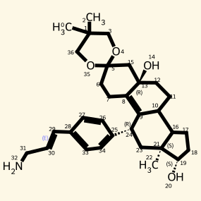 CC1(C)COC2(CCC3=C4C(CC[C@@]3(O)C2)C2CC[C@H](O)[C@@]2(C)C[C@@H]4c2ccc(/C=C/CN)cc2)OC1